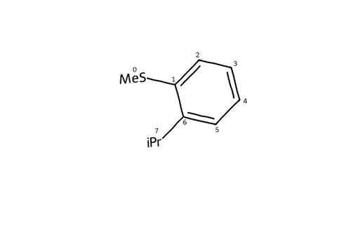 CSc1ccccc1C(C)C